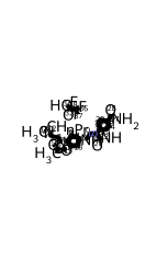 CCC/C(Nc1ccc(N(CCN(C)C)S(C)(=O)=O)cc1)=C1/C(=O)Nc2cc(C(N)=O)ccc21.O=C(O)C(F)(F)F